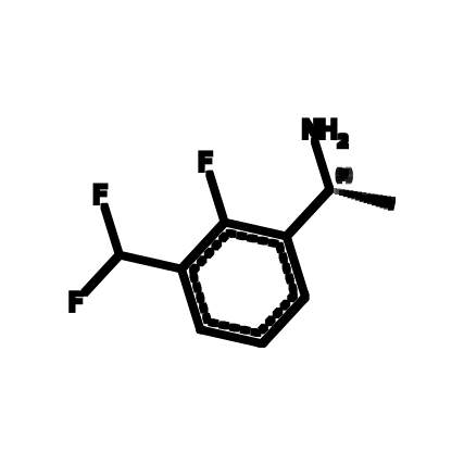 C[C@@H](N)c1cccc(C(F)F)c1F